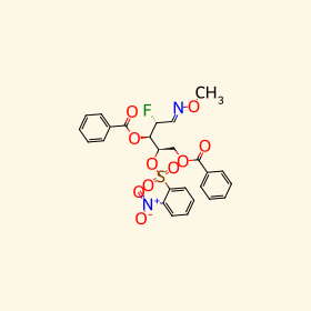 CON=C[C@@H](F)[C@H](OC(=O)c1ccccc1)[C@@H](COC(=O)c1ccccc1)OS(=O)(=O)c1ccccc1[N+](=O)[O-]